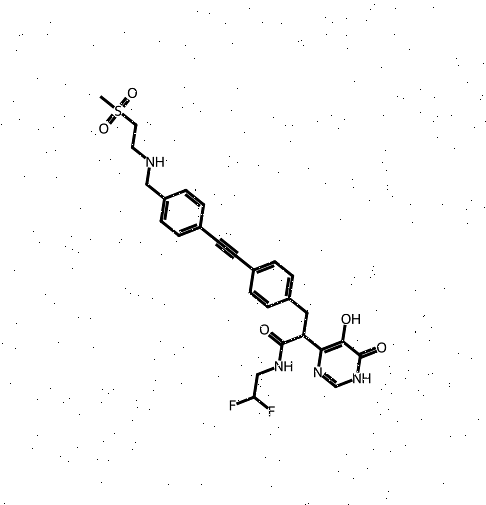 CS(=O)(=O)CCNCc1ccc(C#Cc2ccc(CC(C(=O)NCC(F)F)c3nc[nH]c(=O)c3O)cc2)cc1